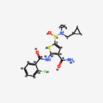 CN(CC1CC1)[S+]([O-])c1cc(C(N)=O)c(NC(=O)c2ccccc2F)s1